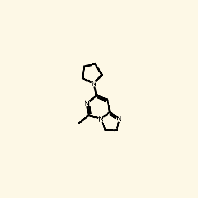 CC1=NC(N2CCCC2)=CC2=NCCN12